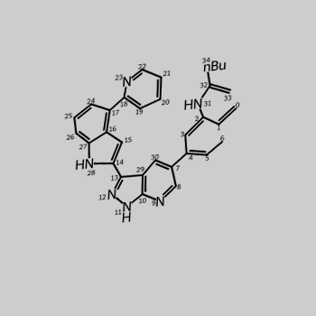 C=C/C(=C\C(=C/C)c1cnc2[nH]nc(-c3cc4c(-c5ccccn5)cccc4[nH]3)c2c1)NC(=C)CCCC